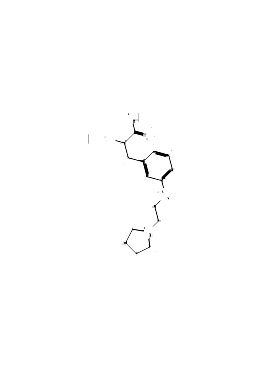 C[C](Cc1cccc(NCCN2CCCC2)c1)C(N)=O